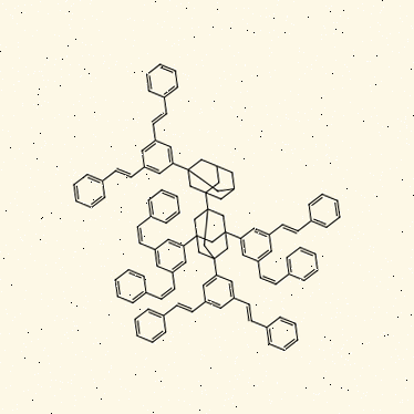 C(=Cc1cc(C=Cc2ccccc2)cc(C23CC4CC(C2)CC(C25CC6(c7cc(C=Cc8ccccc8)cc(C=Cc8ccccc8)c7)CC(c7cc(C=Cc8ccccc8)cc(C=Cc8ccccc8)c7)(CC(c7cc(C=Cc8ccccc8)cc(C=Cc8ccccc8)c7)(C6)C2)C5)(C4)C3)c1)c1ccccc1